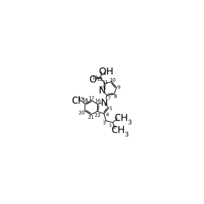 CC(C)Cc1cn(-c2cccc(C(=O)O)n2)c2cc(Cl)ccc12